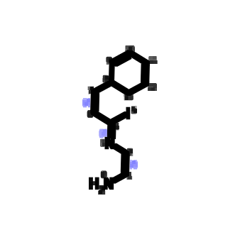 N\C=C/N=C(I)/C=C\C1C=CC=CC1